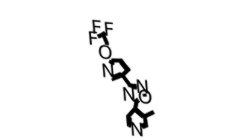 Cc1cnccc1-c1nc(-c2ccc(OCC(F)(F)F)nc2)no1